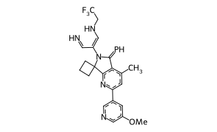 COc1cncc(-c2cc(C)c3c(n2)C2(CCC2)N(/C(C=N)=C/NCC(F)(F)F)C3=P)c1